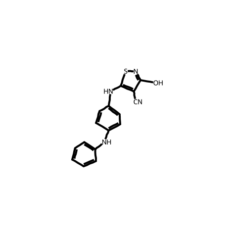 N#Cc1c(O)nsc1Nc1ccc(Nc2ccccc2)cc1